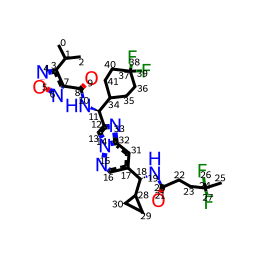 CC(C)c1nonc1C(=O)N[C@H](c1cn2ncc([C@H](NC(=O)CCC(C)(F)F)C3CC3)cc2n1)C1CCC(F)(F)CC1